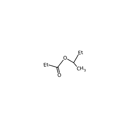 CCC(=O)OC(C)CC